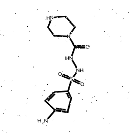 Nc1ccc(S(=O)(=O)NNC(=O)N2CCNCC2)cc1